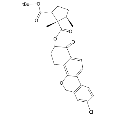 C[C@@H]1CC[C@@H](C(=O)OC(C)(C)C)[C@@]1(C)C(=O)OC1CCc2c(ccc3c2OCc2cc(Cl)ccc2-3)C1=O